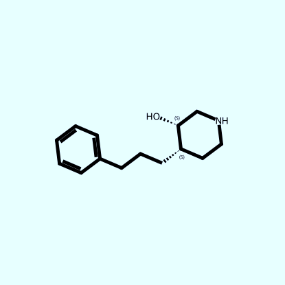 O[C@@H]1CNCC[C@@H]1CCCc1ccccc1